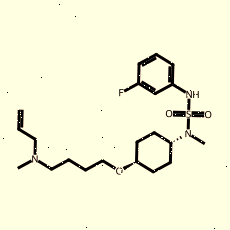 C=CCN(C)CCCCO[C@H]1CC[C@H](N(C)S(=O)(=O)Nc2cccc(F)c2)CC1